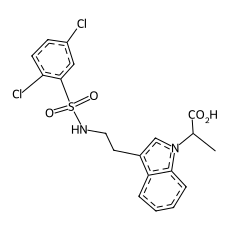 CC(C(=O)O)n1cc(CCNS(=O)(=O)c2cc(Cl)ccc2Cl)c2ccccc21